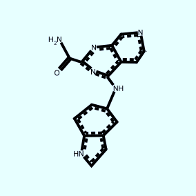 NC(=O)c1nc(Nc2ccc3[nH]ccc3c2)c2c[c]ncc2n1